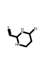 CCC1CCNC(C=S)N1